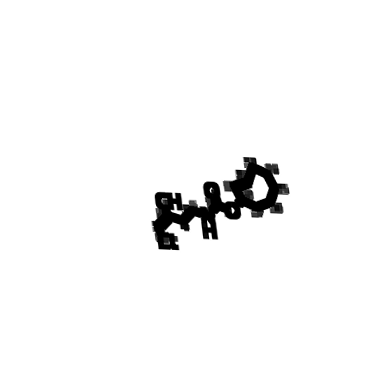 CC/C=C(/C)CCNC(=O)OC1/C=C/CCCCC1